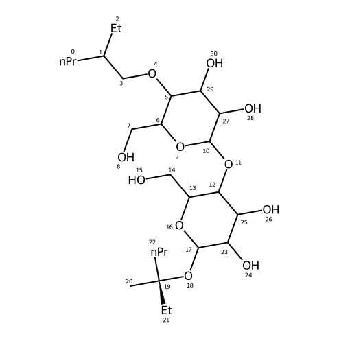 CCCC(CC)COC1C(CO)OC(OC2C(CO)OC(O[C@@](C)(CC)CCC)C(O)C2O)C(O)C1O